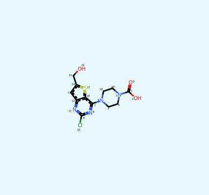 O=C(O)N1CCN(c2nc(Cl)nc3cc(CO)sc23)CC1